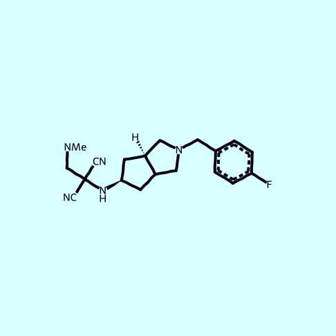 CNCC(C#N)(C#N)N[C@@H]1CC2CN(Cc3ccc(F)cc3)C[C@@H]2C1